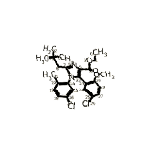 CCOC(=O)c1nc(CC(C)(C)C)n(-c2cc(Cl)ccc2C)c1-c1cc(Cl)ccc1OC